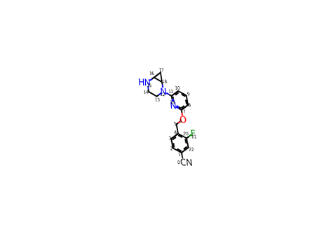 N#Cc1ccc(COc2cccc(N3CCNC4CC43)n2)c(F)c1